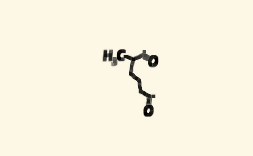 CC([C]=O)CCC[C]=O